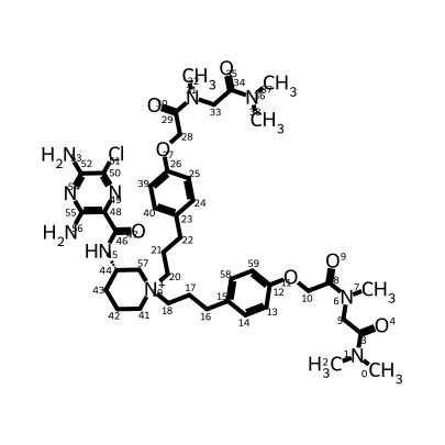 CN(C)C(=O)CN(C)C(=O)COc1ccc(CCC[N+]2(CCCc3ccc(OCC(=O)N(C)CC(=O)N(C)C)cc3)CCC[C@H](NC(=O)c3nc(Cl)c(N)nc3N)C2)cc1